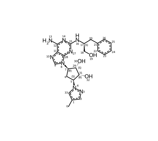 Cc1cnn([C@H]2C[C@@H](n3cnc4c(N)nc(N[C@H](CO)Cc5ccccc5)nc43)[C@H](O)[C@@H]2O)c1